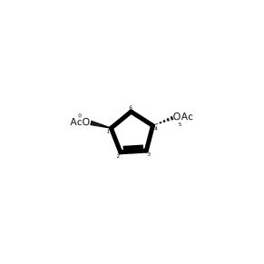 CC(=O)O[C@@H]1C=C[C@@H](OC(C)=O)C1